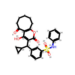 O=C1CCCCCc2oc(=O)c(C(c3cccc(S(=O)(=O)Nc4ccccc4)c3)C3CC3)c(O)c21